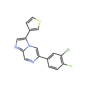 Fc1ccc(-c2cn3c(-c4ccsc4)cnc3cn2)cc1Cl